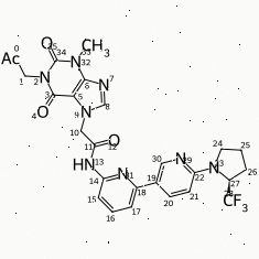 CC(=O)Cn1c(=O)c2c(ncn2CC(=O)Nc2cccc(-c3ccc(N4CCC[C@H]4C(F)(F)F)nc3)n2)n(C)c1=O